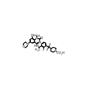 CC(Nc1nc(=O)n(C)c2c(O)cc(N3CCOCC3)cc12)c1cccc(C(F)(F)C2CCN(C(=O)O)CC2)c1F